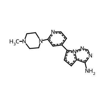 CN1CCN(c2cc(-c3ccc4c(N)ncnn34)ccn2)CC1